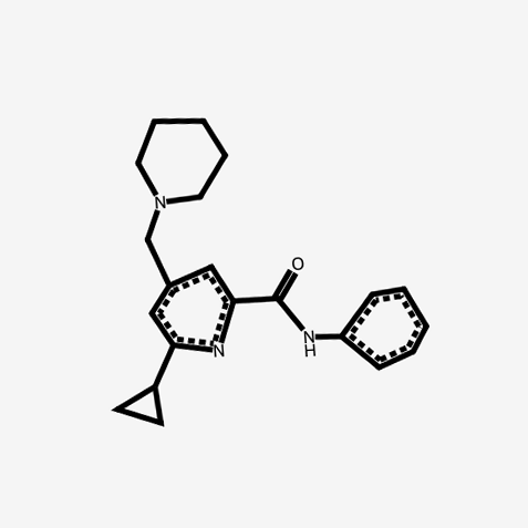 O=C(Nc1ccccc1)c1cc(CN2CCCCC2)cc(C2CC2)n1